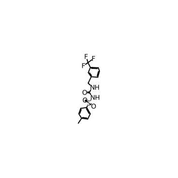 Cc1ccc(S(=O)(=O)NC(=O)NCc2cccc(C(F)(F)F)c2)cc1